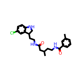 Cc1cccc(C(=O)NCCC(C)CC(=O)NCCC2CNc3ccc(Cl)cc32)c1